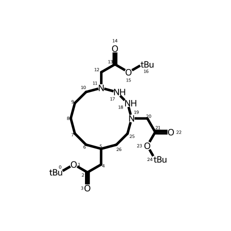 CC(C)(C)OC(=O)CC1CCCCCN(CC(=O)OC(C)(C)C)NNN(CC(=O)OC(C)(C)C)CC1